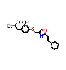 CCC(Cc1ccc(SCc2coc(C=Cc3ccccc3)n2)cc1)C(=O)O